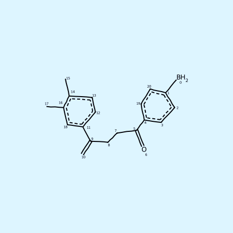 Bc1ccc(C(=O)CCC(=C)c2ccc(C)c(C)c2)cc1